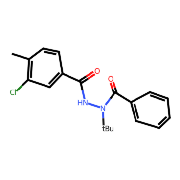 Cc1ccc(C(=O)NN(C(=O)c2ccccc2)C(C)(C)C)cc1Cl